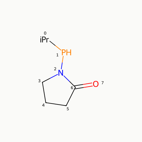 CC(C)PN1CCCC1=O